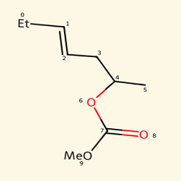 CCC=CCC(C)OC(=O)OC